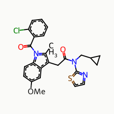 COc1ccc2c(c1)c(CC(=O)N(CC1CC1)c1nccs1)c(C)n2C(=O)c1ccccc1Cl